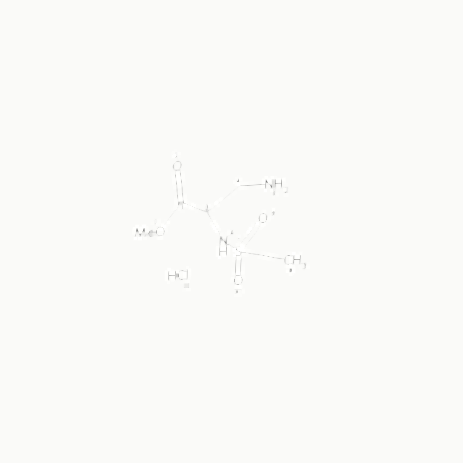 COC(=O)C(CN)NS(C)(=O)=O.Cl